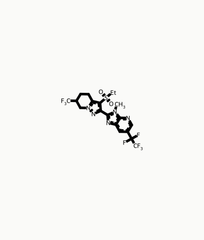 CCS(=O)(=O)c1c(-c2nc3cc(C(F)(F)C(F)(F)F)cnc3n2C)nn2c1CCC(C(F)(F)F)C2